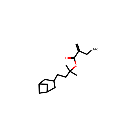 C=C(COC(C)=O)C(=O)OC(C)(C)CCC1CC2CC(C1)C2